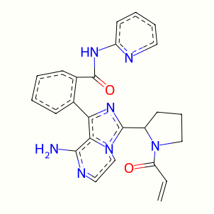 C=CC(=O)N1CCCC1c1nc(-c2ccccc2C(=O)Nc2ccccn2)c2c(N)nccn12